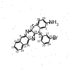 Nc1ccc(Sc2nc3cc4ccccc4cc3nc2Sc2cccc(Br)c2)cc1